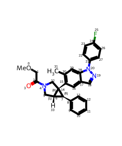 COCC(=O)N1C[C@H]2[C@H](c3ccccc3)[C@@]2(c2cc3cnn(-c4ccc(F)cc4)c3cc2C)C1